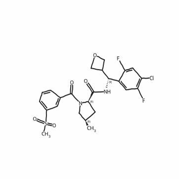 C[C@@H]1C[C@H](C(=O)N[C@@H](c2cc(F)c(Cl)cc2F)C2COC2)N(C(=O)c2cccc(S(C)(=O)=O)c2)C1